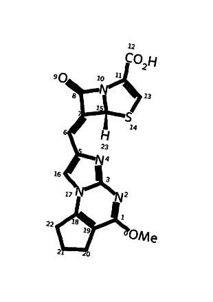 COc1nc2nc(/C=C3/C(=O)N4C(C(=O)O)=CS[C@H]34)cn2c2c1CCC2